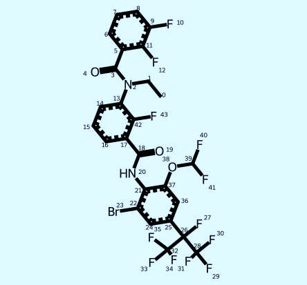 CCN(C(=O)c1cccc(F)c1F)c1cccc(C(=O)Nc2c(Br)cc(C(F)(C(F)(F)F)C(F)(F)F)cc2OC(F)F)c1F